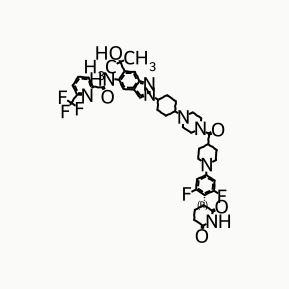 CC(C)(O)c1cc2nn(C3CCC(N4CCN(C(=O)C5CCN(c6cc(F)c([C@H]7CCC(=O)NC7=O)c(F)c6)CC5)CC4)CC3)cc2cc1NC(=O)c1cccc(C(F)(F)F)n1